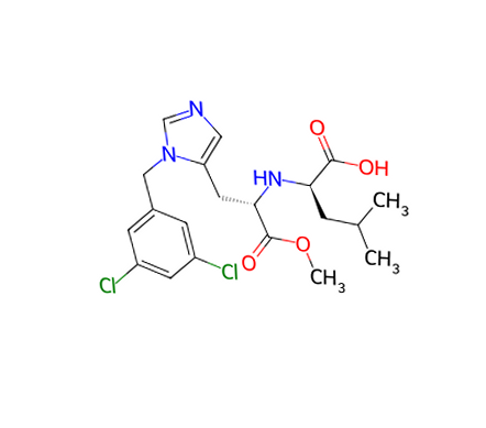 COC(=O)[C@H](Cc1cncn1Cc1cc(Cl)cc(Cl)c1)N[C@H](CC(C)C)C(=O)O